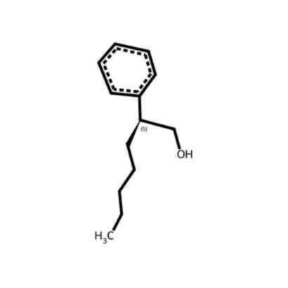 CCCCC[C@H](CO)c1ccccc1